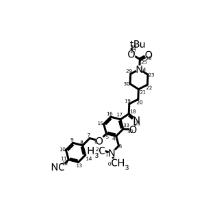 CN(C)Cc1c(OCc2ccc(C#N)cc2)ccc2c(CCC3CCN(C(=O)OC(C)(C)C)CC3)noc12